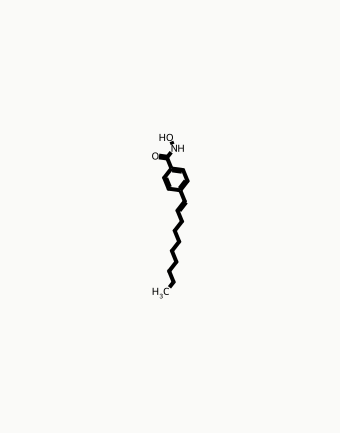 CCCCCCCCC=Cc1ccc(C(=O)NO)cc1